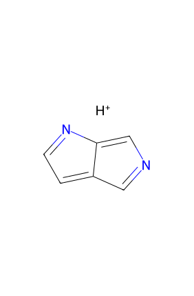 C1=NC=C2N=CC=C12.[H+]